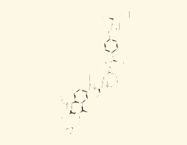 CC(C)n1c(=O)n(CC2CC2)c(=O)c2cc(NC(=O)N3CCC[C@@H](NC(=O)c4ccc(CNC(=O)O)cc4)C3)c(F)cc21